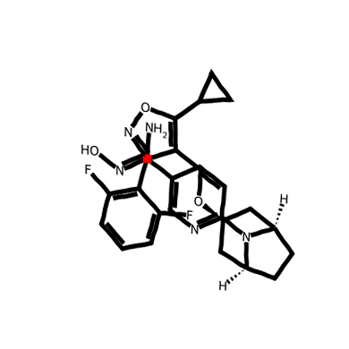 N/C(=N\O)c1ccc(N2[C@@H]3CC[C@H]2C[C@@H](OCc2c(-c4c(F)cccc4F)noc2C2CC2)C3)nc1